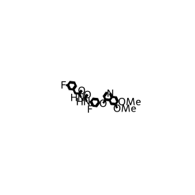 COc1cc2nccc(Oc3ccc(NC(=O)NC(=O)Cc4cccc(F)c4)c(F)c3)c2cc1OC